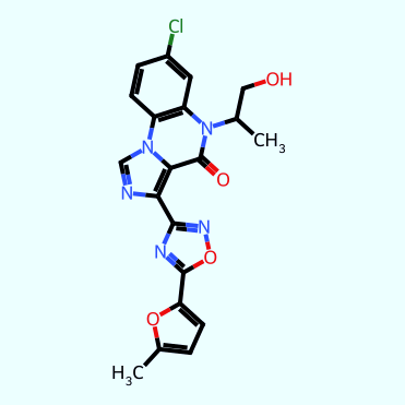 Cc1ccc(-c2nc(-c3ncn4c3c(=O)n(C(C)CO)c3cc(Cl)ccc34)no2)o1